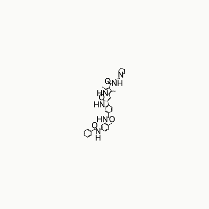 Cc1ccc(NC(=O)c2ccccc2)cc1NC(=O)c1ccc2c(c1)NC(=O)C2=Cc1[nH]c(C)c(C(=O)NCCN2CCCC2)c1C